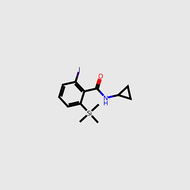 C[Si](C)(C)c1cccc(I)c1C(=O)NC1CC1